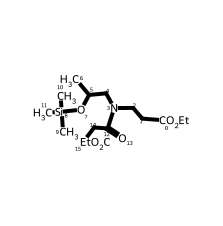 CCOC(=O)CCN(CC(C)O[Si](C)(C)C)C(=O)CC(=O)OCC